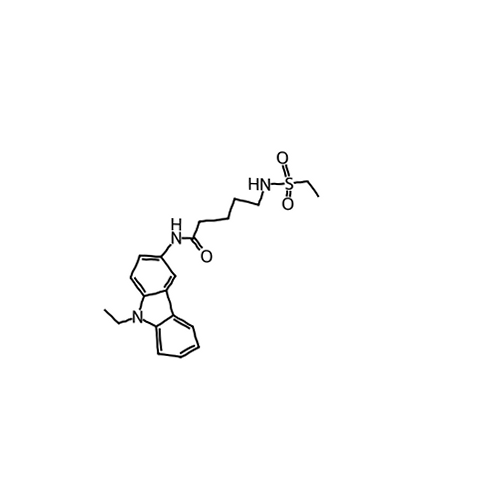 CCn1c2ccccc2c2cc(NC(=O)CCCCNS(=O)(=O)CC)ccc21